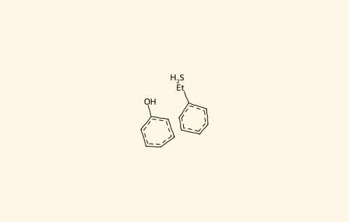 CCc1ccccc1.Oc1ccccc1.S